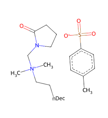 CCCCCCCCCCCC[N+](C)(C)CN1CCCC1=O.Cc1ccc(S(=O)(=O)[O-])cc1